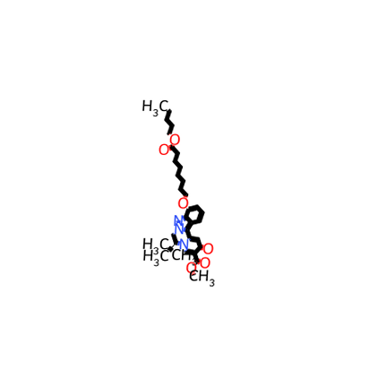 CCCCCOC(=O)CCCCCCCOc1cccc2c3n(nc12)C[C@@H](C(C)(C)C)n1cc(C(=O)OC)c(=O)cc1-3